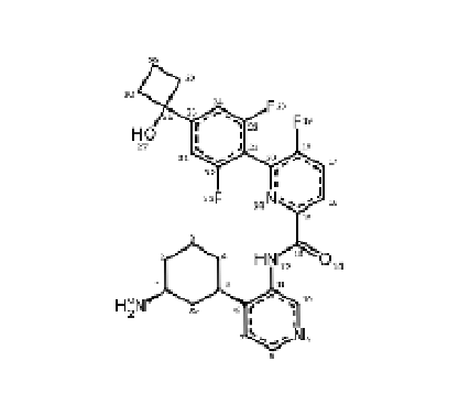 N[C@H]1CCC[C@@H](c2ccncc2NC(=O)c2ccc(F)c(-c3c(F)cc(C4(O)CCC4)cc3F)n2)C1